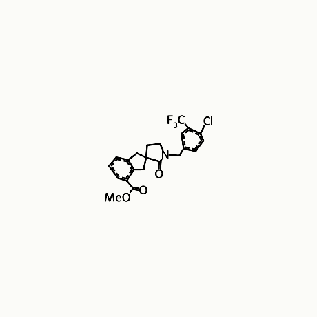 COC(=O)c1cccc2c1CC1(CCN(Cc3ccc(Cl)c(C(F)(F)F)c3)C1=O)C2